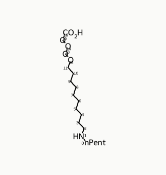 CCCCCNCCCCCCCCCCOOOOC(=O)O